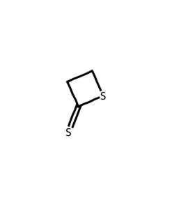 S=C1CCS1